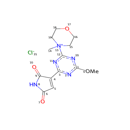 COc1nc(C2=CC(=O)NC2=O)nc([N+]2(C)CCOCC2)n1.[Cl-]